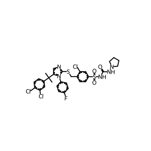 CC(C)(c1ccc(Cl)c(Cl)c1)c1cnc(SCc2ccc(S(=O)(=O)NC(=O)NN3CCCC3)cc2Cl)n1-c1ccc(F)cc1